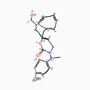 COc1ccc([C@H](C)N2CCC(CCCO)(c3ccccc3)OC2=O)cc1